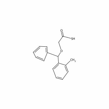 Cc1ccccc1C(OCC(=O)S)c1ccccc1